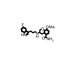 COc1ccc(C(N)=O)c2c1OCC(NCCCc1c[nH]c3ccc(F)cc13)C2